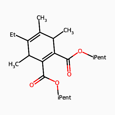 CCCC(C)OC(=O)C1=C(C(=O)OC(C)CCC)C(C)C(CC)=C(C)C1C